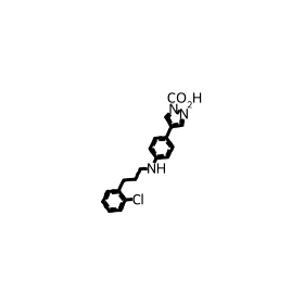 O=C(O)n1cc(-c2ccc(NCCCc3ccccc3Cl)cc2)cn1